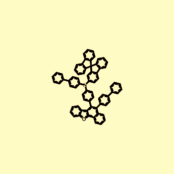 c1ccc(-c2ccc(-c3c(-c4ccc(N(c5ccc(-c6ccccc6)cc5)c5ccc6c(c5)C5(c7ccccc7-c7ccccc75)c5ccccc5-6)cc4)c4c5ccccc5oc4c4ccccc34)cc2)cc1